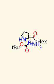 CCCCCCC(=O)C1(N(N)C(=O)OC(C)(C)C)CCCN1